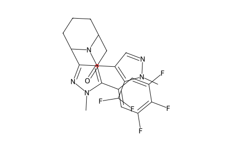 Cn1nc2c(c1-c1cc(F)c(F)c(F)c1)CC1CCCC2N1C(=O)c1cnn(C)c1C(F)F